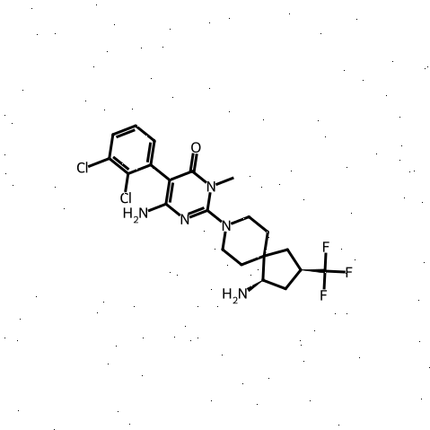 Cn1c(N2CCC3(CC2)C[C@@H](C(F)(F)F)C[C@H]3N)nc(N)c(-c2cccc(Cl)c2Cl)c1=O